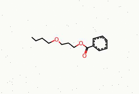 CCCCOCCCOC(=O)c1ccccc1